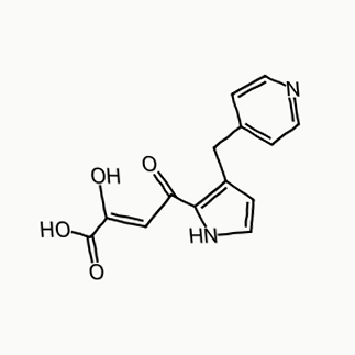 O=C(O)C(O)=CC(=O)c1[nH]ccc1Cc1ccncc1